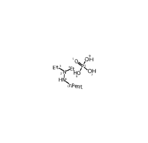 CCCCCNN(CC)CC.O=P(O)(O)O